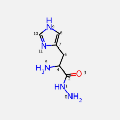 NNC(=O)C(N)Cc1c[nH]cn1